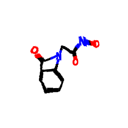 O=NC(=O)CN1C(=O)c2ccccc21